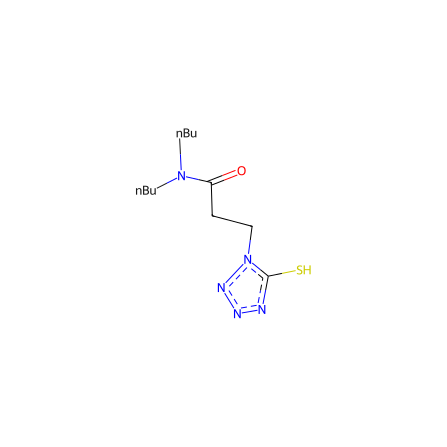 CCCCN(CCCC)C(=O)CCn1nnnc1S